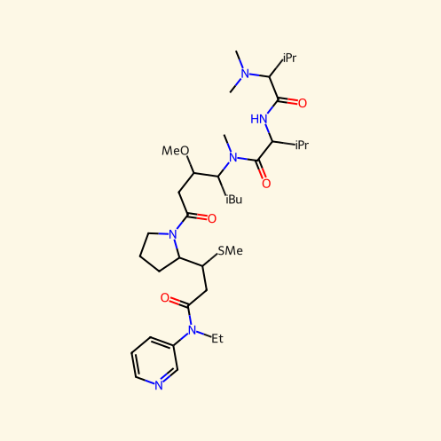 CCC(C)C(C(CC(=O)N1CCCC1C(CC(=O)N(CC)c1cccnc1)SC)OC)N(C)C(=O)C(NC(=O)C(C(C)C)N(C)C)C(C)C